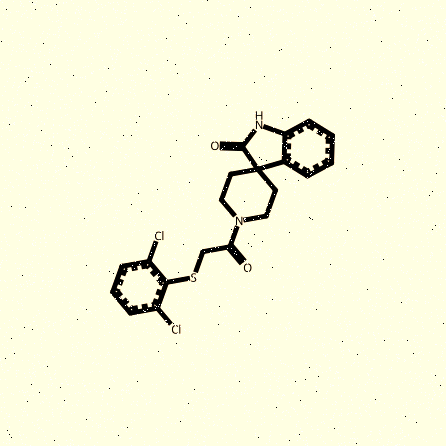 O=C(CSc1c(Cl)cccc1Cl)N1CCC2(CC1)C(=O)Nc1ccccc12